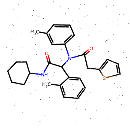 Cc1cccc(N(C(=O)Cc2cccs2)C(C(=O)NC2CCCCC2)c2ccccc2C)c1